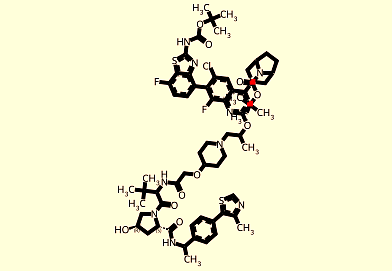 Cc1ncsc1-c1ccc(C(C)NC(=O)[C@@H]2C[C@@H](O)CN2C(=O)C(NC(=O)COC2CCN(CC(C)Oc3nc(N4CC5CCC(C4)N5C(=O)OC(C)(C)C)c4cc(Cl)c(-c5ccc(F)c6sc(NC(=O)OC(C)(C)C)nc56)c(F)c4n3)CC2)C(C)(C)C)cc1